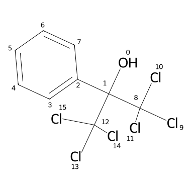 OC(c1ccccc1)(C(Cl)(Cl)Cl)C(Cl)(Cl)Cl